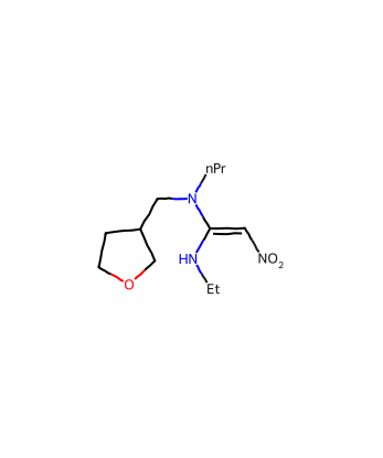 CCCN(CC1CCOC1)/C(=C/[N+](=O)[O-])NCC